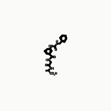 C[C@@H](NC(=O)CNC(=O)c1cccc(NC(=O)NCc2ccccc2)c1)C(=O)O